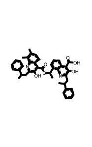 Cc1ccc2c(C(=O)OC(C)c3cccc4c(C(=O)O)c(O)c(CC(C)c5ccccc5)nc34)c(O)c(CC(C)c3ccccc3)nc2c1C